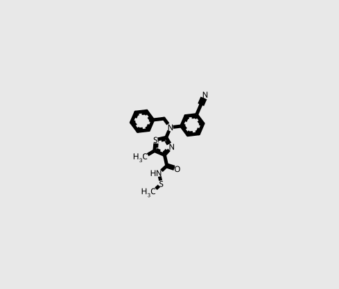 CSNC(=O)c1nc(N(Cc2ccccc2)c2cccc(C#N)c2)sc1C